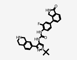 CC(C)(C)n1cc(NC(=O)Nc2ccc(-c3cccc4c3CNC4=O)cc2F)c(-c2ccc3c(c2)CNCC3)n1